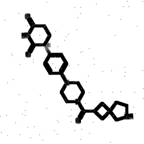 O=C1CC[C@H](c2ccc(N3CCN(C(=O)C4CC5(CCNC5)C4)CC3)cc2)C(=O)N1